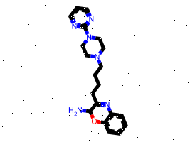 NC1Oc2ccccc2N=C1CCCCN1CCN(c2ncccn2)CC1